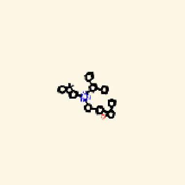 CC1(C)c2ccccc2-c2ccc(-c3nc(-c4cccc(-c5ccc6c(c5)oc5cccc(-c7ccccc7)c56)c4)nc(-c4cc(-c5ccccc5)cc(-c5ccccc5)c4)n3)cc21